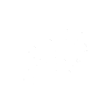 CC(C)(C)[Si](C)(C)OC[C@@]1(C)CNc2c(C#N)cc(-c3ccnc(Nc4cc5c([nH]c4=O)CCOC5)n3)cc21